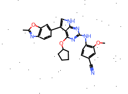 COc1cc(C#N)ccc1Nc1nc(OC2CCCC2)c2c(-c3ccc4nc(C)oc4c3)c[nH]c2n1